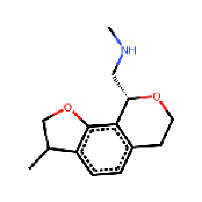 CNC[C@@H]1OCCc2ccc3c(c21)OCC3C